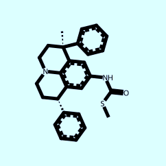 CSC(=O)Nc1cc2c3c(c1)[C@](C)(c1ccccc1)CCN3CC[C@H]2c1ccccc1